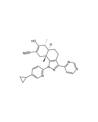 C[C@H]1C(O)=C(C#N)C[C@@]2(C)c3c(c(-c4ccncn4)nn3-c3ccc(C4CC4)cn3)CC[C@H]12